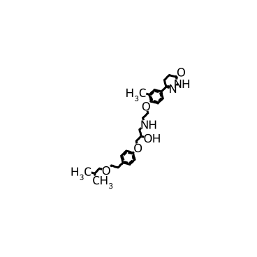 Cc1cc(C2=NNC(=O)CC2)ccc1OCCNCC(O)COc1ccc(CCOCC(C)C)cc1